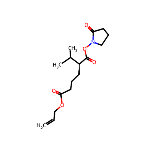 C=CCOC(=O)CCC[C@H](C(=O)ON1CCCC1=O)C(C)C